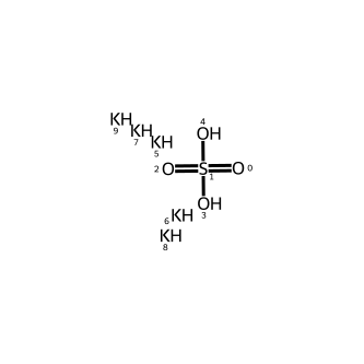 O=S(=O)(O)O.[KH].[KH].[KH].[KH].[KH]